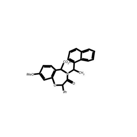 COc1ccc2c(c1)OC(C(C)C)C(=O)N(C(C)c1cccc3ccccc13)C2C(=O)O